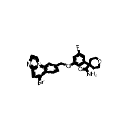 NC(=O)C1(c2cc(F)cc(OCc3ccc4c(Br)cc5nccn5c4c3)c2)CCOCC1